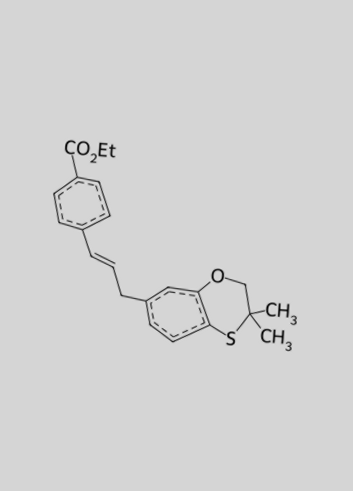 CCOC(=O)c1ccc(C=CCc2ccc3c(c2)OCC(C)(C)S3)cc1